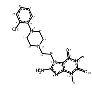 Cn1c(=O)c2c(nc(N)n2CCN2CCN(c3ccccc3Cl)CC2)n(C)c1=O